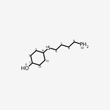 OC1CCC(SCCCCP)CC1